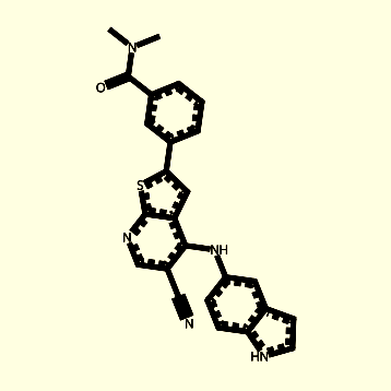 CN(C)C(=O)c1cccc(-c2cc3c(Nc4ccc5[nH]ccc5c4)c(C#N)cnc3s2)c1